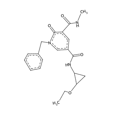 CCOC1CC1NC(=O)c1cc(C(=O)NC)c(=O)n(Cc2ccccc2)c1